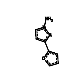 Nn1ccc(-c2ccco2)n1